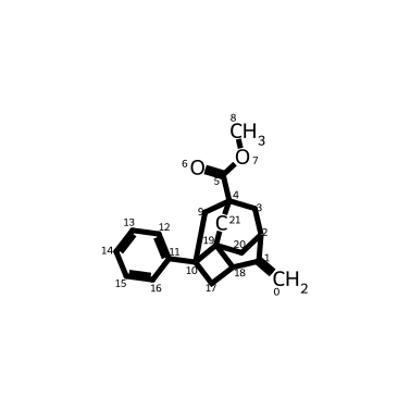 C=C1C2CC3(C(=O)OC)CC4(c5ccccc5)CC1C4(C2)C3